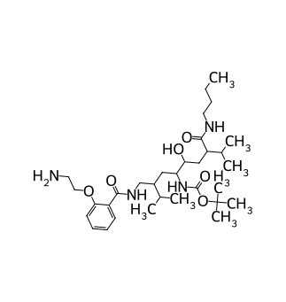 CCCCNC(=O)C(CC(O)C(CC(CNC(=O)c1ccccc1OCCN)C(C)C)NC(=O)OC(C)(C)C)C(C)C